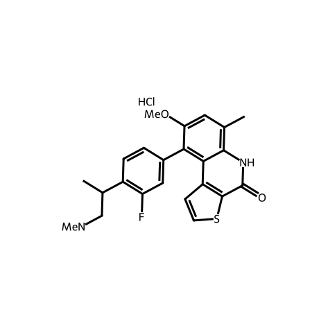 CNCC(C)c1ccc(-c2c(OC)cc(C)c3[nH]c(=O)c4sccc4c23)cc1F.Cl